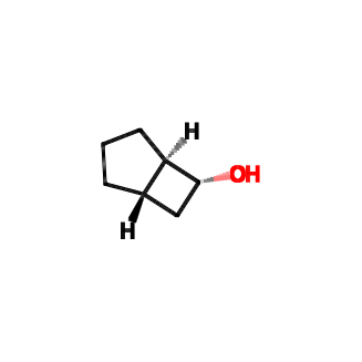 O[C@@H]1C[C@@H]2CCC[C@H]21